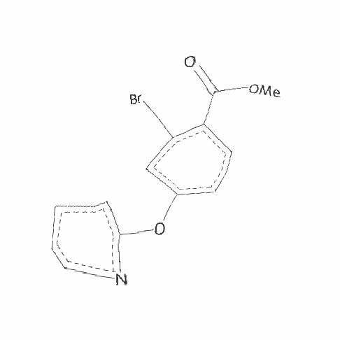 COC(=O)c1ccc(Oc2ccccn2)cc1Br